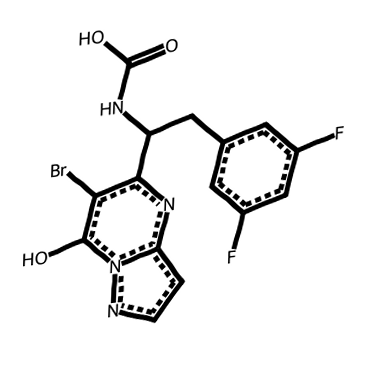 O=C(O)NC(Cc1cc(F)cc(F)c1)c1nc2ccnn2c(O)c1Br